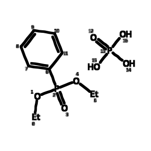 CCOP(=O)(OCC)c1ccccc1.O=P(O)(O)O